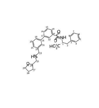 O=C(O)[C@@H](Cc1ccccc1)NS(=O)(=O)c1cccc(-c2cccc(CNCC3CCCO3)c2)c1